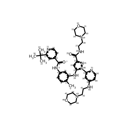 Cc1ccc(NC(=O)c2ccnc(C(C)(C)C)c2)cc1Nc1cc(C(=O)NCCN2CCOCC2)nn1-c1cc(NCCN2CCOCC2)ccn1